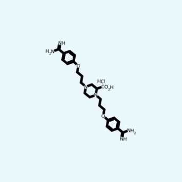 Cl.N=C(N)c1ccc(OCCCN2CCN(CCCOc3ccc(C(=N)N)cc3)C(C(=O)O)C2)cc1